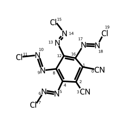 N#Cc1c(C#N)c(N=NCl)c(N=NCl)c(N=NCl)c1N=NCl